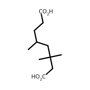 CC(CCC(=O)O)CC(C)(C)CC(=O)O